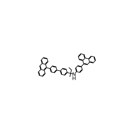 CCC(C)(Nc1ccc(-c2cc3ccccc3c3ccccc23)cc1)c1ccc(-c2ccc(-c3c4ccccc4cc4ccccc34)cc2)cc1